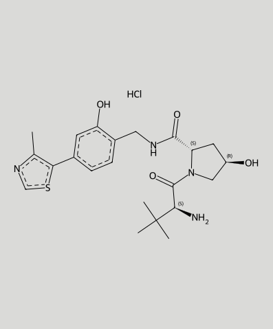 Cc1ncsc1-c1ccc(CNC(=O)[C@@H]2C[C@@H](O)CN2C(=O)[C@@H](N)C(C)(C)C)c(O)c1.Cl